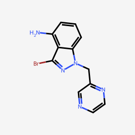 Nc1cccc2c1c(Br)nn2Cc1cnccn1